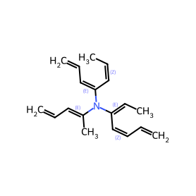 C=C/C=C\C(=C/C)N(/C(C)=C/C=C)C(/C=C\C)=C/C=C